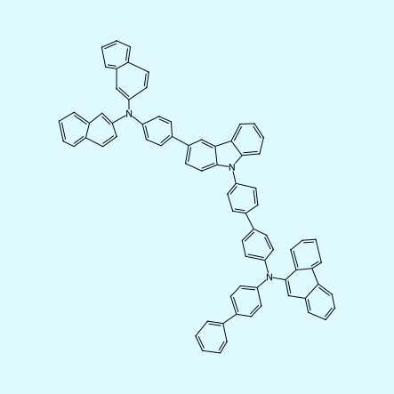 c1ccc(-c2ccc(N(c3ccc(-c4ccc(-n5c6ccccc6c6cc(-c7ccc(N(c8ccc9ccccc9c8)c8ccc9ccccc9c8)cc7)ccc65)cc4)cc3)c3cc4ccccc4c4ccccc34)cc2)cc1